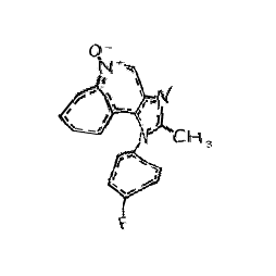 Cc1nc2c[n+]([O-])c3ccccc3c2n1-c1ccc(F)cc1